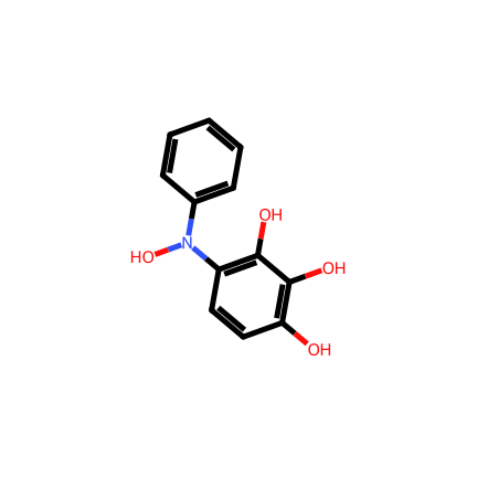 Oc1ccc(N(O)c2ccccc2)c(O)c1O